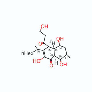 CCCCCC[C@@H](C)C1=C(O)C(=O)[C@@H]2[C@H](O)[C@H](C)C[C@H](O)[C@H]2[C@]1(C)C(=O)CCO